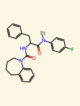 CCN(C(=O)C(Cc1ccccc1)NC(=O)N1CCCCc2ccccc21)c1ccc(F)cc1